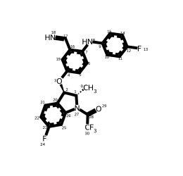 C[C@H]1[C@H](Oc2ccc(Nc3ccc(F)cc3)c(C=N)c2)c2ccc(F)cc2N1C(=O)C(F)(F)F